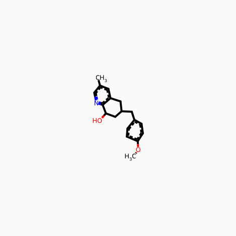 COc1ccc(CC2Cc3cc(C)cnc3C(O)C2)cc1